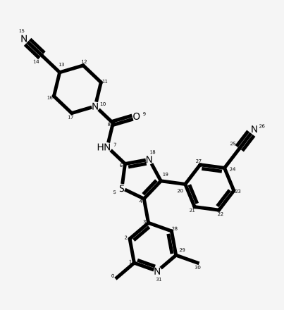 Cc1cc(-c2sc(NC(=O)N3CCC(C#N)CC3)nc2-c2cccc(C#N)c2)cc(C)n1